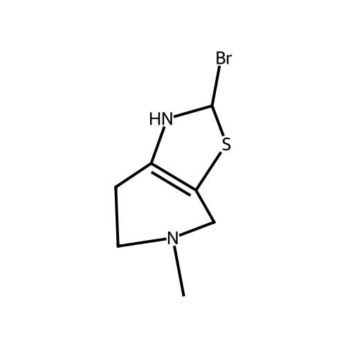 CN1CCC2=C(C1)SC(Br)N2